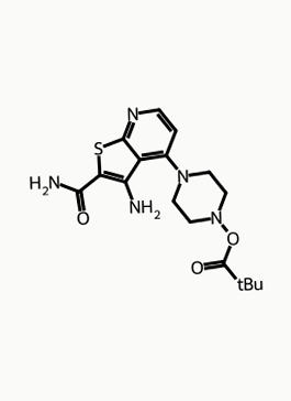 CC(C)(C)C(=O)ON1CCN(c2ccnc3sc(C(N)=O)c(N)c23)CC1